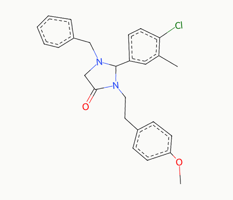 COc1ccc(CCN2C(=O)CN(Cc3ccccc3)C2c2ccc(Cl)c(C)c2)cc1